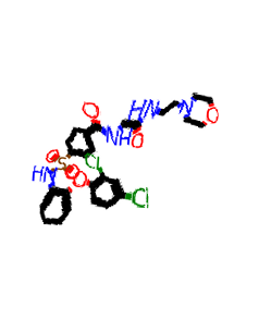 O=C(CNC(=O)c1ccc(S(=O)(=O)Nc2ccccc2Oc2ccc(Cl)cc2Cl)cc1)NCCN1CCOCC1